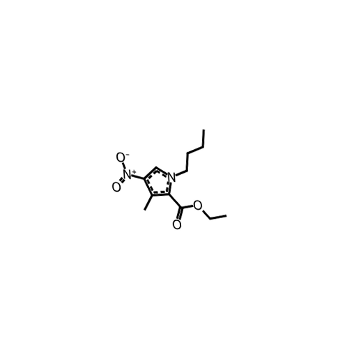 CCCCn1cc([N+](=O)[O-])c(C)c1C(=O)OCC